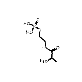 CC(O)C(=O)NCCOP(=O)(O)O